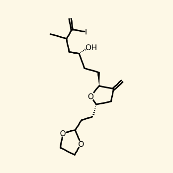 C=C(I)C(C)C[C@H](O)CC[C@@H]1O[C@@H](CCC2OCCO2)CC1=C